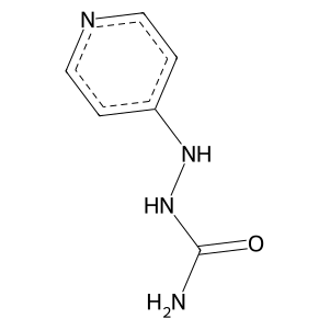 NC(=O)NNc1ccncc1